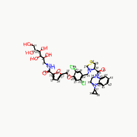 O=C(NC[C@H](O)[C@@H](O)[C@H](O)[C@H](O)CO)c1ccc(COc2cc(Cl)c(CN3CSC[C@H]3C(=O)N3CCN(C4CC4)c4ccccc43)cc2Cl)o1